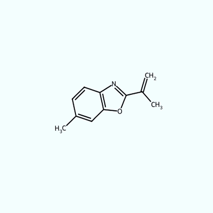 C=C(C)c1nc2ccc(C)cc2o1